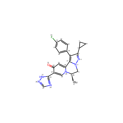 CC(C)(C)[C@@H]1Cn2nc(C3CC3)c(-c3ccc(F)cc3)c2-c2cc(=O)c(-c3ncn[nH]3)cn21